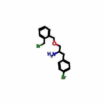 NC(COCc1ccccc1CBr)Cc1ccc(Br)cc1